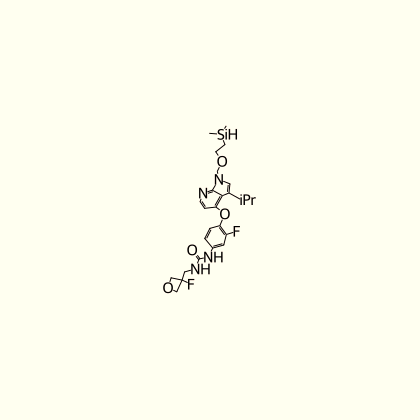 CC(C)c1cn(COCC[SiH](C)C)c2nccc(Oc3ccc(NC(=O)NCC4(F)COC4)cc3F)c12